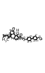 CN(CC1CC1)[C@@H]1Cc2ccc(C(=O)NCCc3ccc(-c4ccc(C=O)cc4)cc3)c(O)c2C2CC(=O)CC[C@]21O